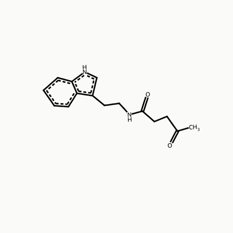 CC(=O)CCC(=O)NCCc1c[nH]c2ccccc12